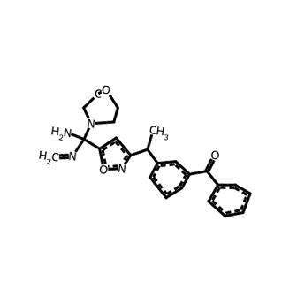 C=NC(N)(c1cc(C(C)c2cccc(C(=O)c3ccccc3)c2)no1)N1CCOCC1